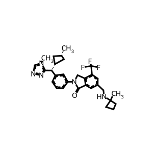 Cn1cnnc1C(c1cccc(N2Cc3c(cc(CNC4(C)CCC4)cc3C(F)(F)F)C2=O)c1)[C@H]1C[C@@H](C)C1